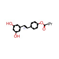 CC(C)C(=O)Oc1ccc(/C=C/c2cc(O)cc(O)c2)cc1